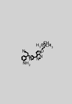 C[Si](C)(C)CCOn1ccc2c(-c3cnn(C(CC#N)c4cccc(N)c4)c3)ncnc21